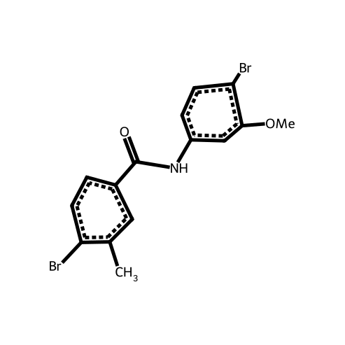 COc1cc(NC(=O)c2ccc(Br)c(C)c2)ccc1Br